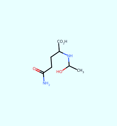 CC(O)NC(CCC(N)=O)C(=O)O